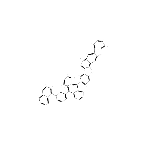 C1=CC(c2cccc3ccccc23)CC(c2c3ccccc3c(-c3ccc4oc5c6cc7oc8ccccc8c7cc6ccc5c4c3)c3ccccc23)=C1